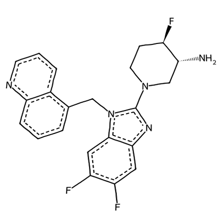 N[C@@H]1CN(c2nc3cc(F)c(F)cc3n2Cc2cccc3ncccc23)CC[C@H]1F